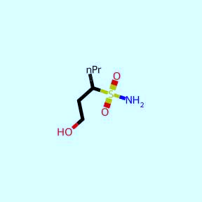 CCCC(CCO)S(N)(=O)=O